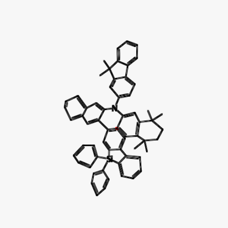 CC1(C)CCC(C)(C)c2cc(N(c3ccc4c(c3)C(C)(C)c3ccccc3-4)c3cc4ccccc4cc3-c3ccc4c(c3)[Si](c3ccccc3)(c3ccccc3)c3ccccc3-4)ccc21